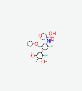 COc1cc(-c2cc(F)c(NC3(C(=O)O)CCOCC3)cc2COC2CCCC2)c(F)c(OC)c1C